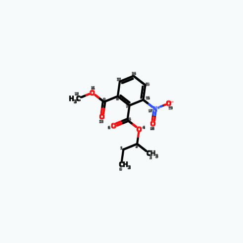 CCC(C)OC(=O)c1c(C(=O)OC)cccc1[N+](=O)[O-]